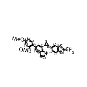 COc1ncc(-c2cc([C@H]3C[C@@H]3c3ccc4nc(C(F)(F)F)sc4c3)c3nccn3n2)c(OC)n1